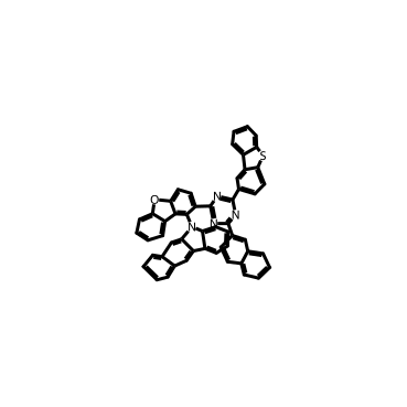 c1ccc2cc(-c3nc(-c4ccc5sc6ccccc6c5c4)nc(-c4ccc5oc6ccccc6c5c4-n4c5ccccc5c5cc6ccccc6cc54)n3)ccc2c1